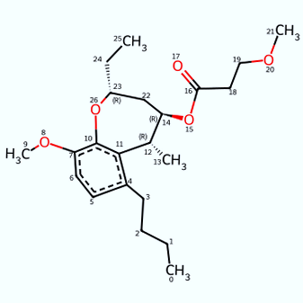 CCCCc1ccc(OC)c2c1[C@@H](C)[C@H](OC(=O)CCOC)C[C@@H](CC)O2